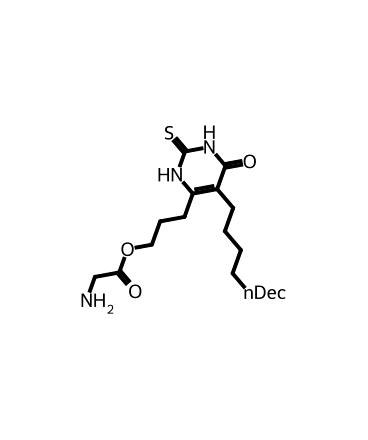 CCCCCCCCCCCCCCc1c(CCCOC(=O)CN)[nH]c(=S)[nH]c1=O